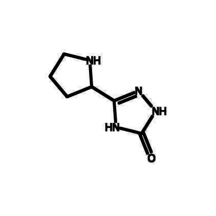 O=c1[nH]nc(C2CCCN2)[nH]1